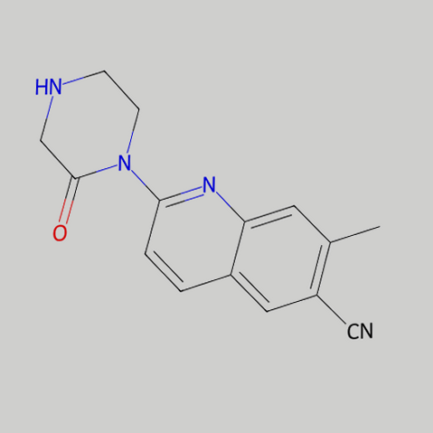 Cc1cc2nc(N3CCNCC3=O)ccc2cc1C#N